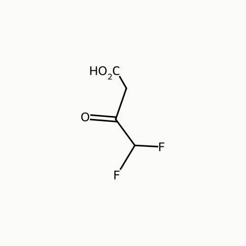 O=C(O)CC(=O)C(F)F